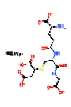 NC(CCC(=O)NC(CSC(CC(=O)[O-])C(=O)O)C(=O)NCC(=O)[O-])C(=O)[O-].[Na+].[Na+].[Na+]